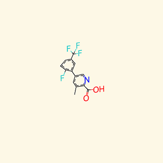 Cc1cc(-c2cc(C(F)(F)F)ccc2F)cnc1C(=O)O